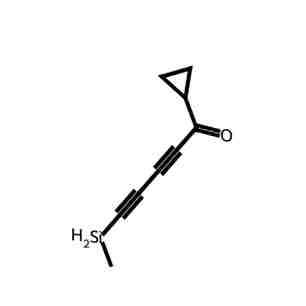 C[SiH2]C#CC#CC(=O)C1CC1